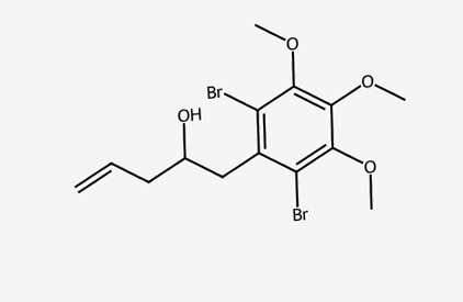 C=CCC(O)Cc1c(Br)c(OC)c(OC)c(OC)c1Br